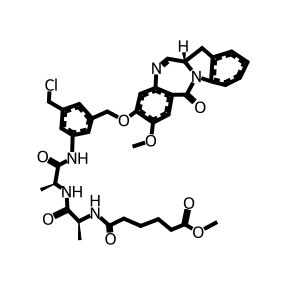 COC(=O)CCCCC(=O)N[C@@H](C)C(=O)N[C@@H](C)C(=O)Nc1cc(CCl)cc(COc2cc3c(cc2OC)C(=O)N2c4ccccc4C[C@H]2C=N3)c1